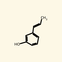 CC=Cc1cccc(O)c1